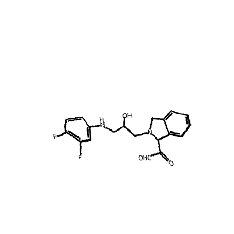 O=CC(=O)C1c2ccccc2CN1CC(O)CNc1ccc(F)c(F)c1